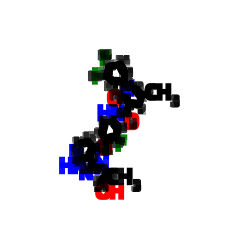 Cc1cc(C(=O)Nc2ccc(Oc3ccnc4[nH]nc(NC(C)CO)c34)c(F)c2)c(=O)n(-c2ccc(F)c(F)c2)c1